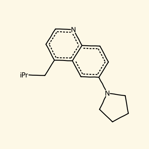 CC(C)Cc1ccnc2ccc(N3CCCC3)cc12